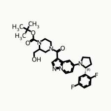 CC(C)(C)OC(=O)N1CCN(C(=O)c2cnn3ccc(N4CCC[C@@H]4c4cc(F)ccc4F)cc23)CC1CO